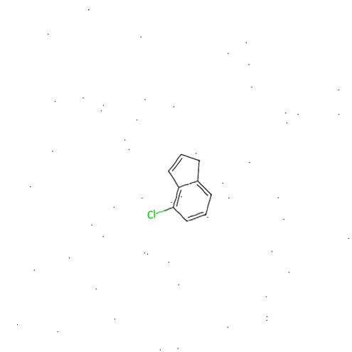 Clc1cccc2c1C=CC2